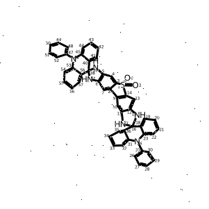 O=S1(=O)c2cc3c(cc2-c2cc4c(cc21)NC1(N4)c2ccccc2N(c2ccccc2)c2ccccc21)NC1(N3)c2ccccc2N(c2ccccc2)c2ccccc21